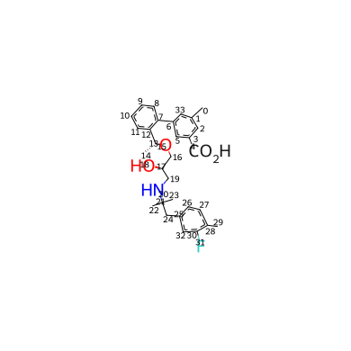 Cc1cc(C(=O)O)cc(-c2ccccc2[C@@H](C)OC[C@H](O)CNC(C)(C)Cc2ccc(C)c(F)c2)c1